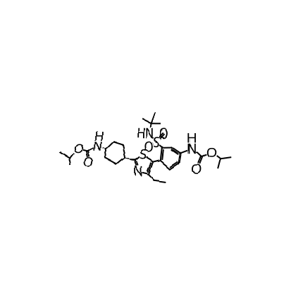 CCc1nc([C@H]2CC[C@H](NC(=O)OC(C)C)CC2)sc1-c1ccc(NC(=O)OC(C)C)cc1S(=O)(=O)NC(C)(C)C